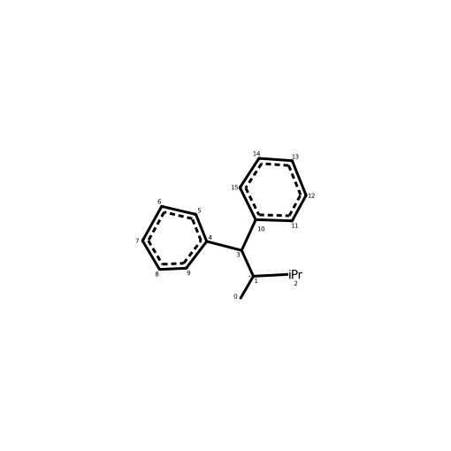 C[C](C(C)C)C(c1ccccc1)c1ccccc1